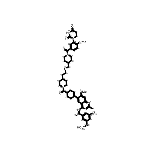 COc1cc2nc(C)nc(N[C@H](C)c3cc(NC(=O)O)cc(C(F)(F)F)c3)c2cc1C1=CCC(C(=O)N2CCC(CCOCC3CCN(C(=O)c4ccc(OC)c(N5CCC(=O)NC5=O)c4)CC3)CC2)CC1